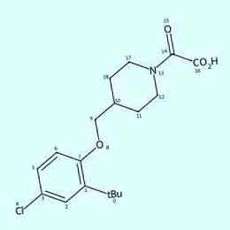 CC(C)(C)c1cc(Cl)ccc1OCC1CCN(C(=O)C(=O)O)CC1